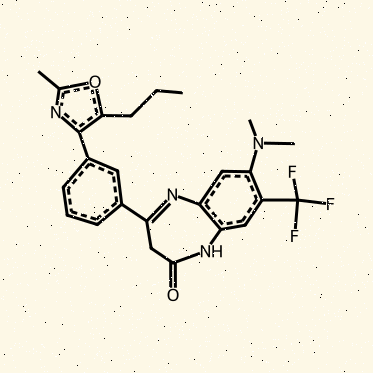 CCCc1oc(C)nc1-c1cccc(C2=Nc3cc(N(C)C)c(C(F)(F)F)cc3NC(=O)C2)c1